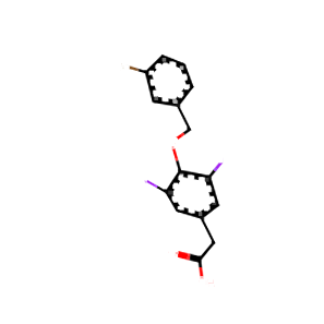 O=C(O)Cc1cc(I)c(OCc2cccc(Br)c2)c(I)c1